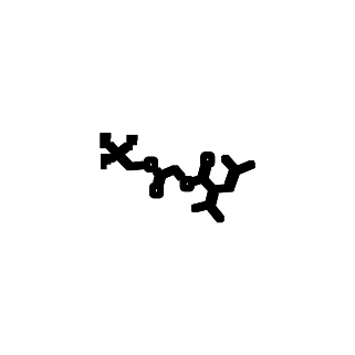 CC(C)=CC(C(=O)OCC(=O)OCC(F)(F)F)=C(C)C